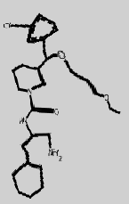 CCOCCCOC(c1cccc(Cl)c1)C1CCCN(C(=O)NC(CN)CC2CCCCC2)C1